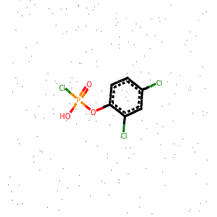 O=P(O)(Cl)Oc1ccc(Cl)cc1Cl